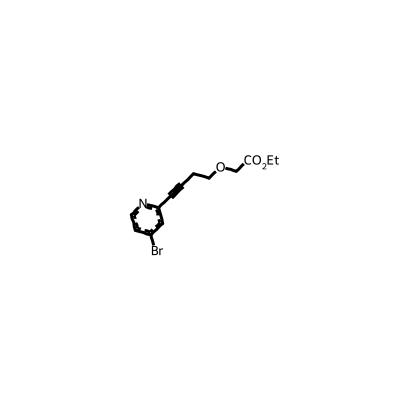 CCOC(=O)COCCC#Cc1cc(Br)ccn1